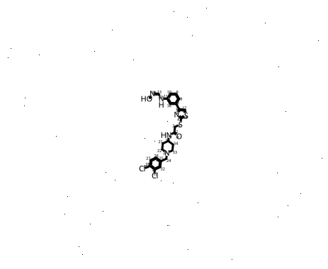 O=C(CSc1nc(-c2cccc(N/C=N\O)c2)cs1)NC1CCN(Cc2ccc(Cl)c(Cl)c2)CC1